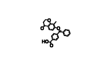 Cc1c(O[C@H](c2ccccc2)c2ccc(C(=O)O)cc2)ccc2c1OCCC2=O